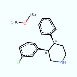 CC(C)(C)OC=O.Clc1cccc([C@@H]2CNCC[C@@H]2c2ccccc2)c1